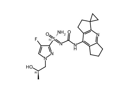 C[C@@H](O)Cn1cc(F)c([S@@](N)(=O)=NC(=O)Nc2c3c(nc4c2CCC42CC2)CCC3)n1